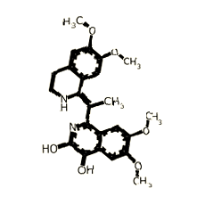 COc1cc2c(cc1OC)C(=C(C)c1nc(O)c(O)c3cc(OC)c(OC)cc13)NCC2